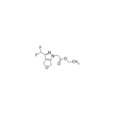 CCOC(=O)Cn1nc(C(F)F)c2c1COC2